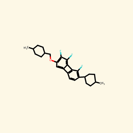 CC1CCC(COc2cc3c(c(F)c2F)-c2c-3ccc(C3CCC(C)CC3)c2F)CC1